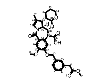 COC(=O)Cc1cccc(COc2cc3c(cc2OC)C(=O)N2C=C(C)C[C@H]2[C@H](OC2CCCCO2)N3C(=O)O)c1